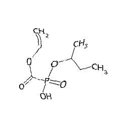 C=COC(=O)P(=O)(O)OC(C)CC